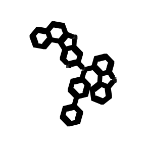 c1ccc(-c2ccc(N(c3cc4oc5ccc6ccccc6c5c4cn3)c3cccc4sc5ccccc5c34)cc2)cc1